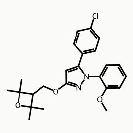 COc1ccccc1-n1nc(OCC2C(C)(C)OC2(C)C)cc1-c1ccc(Cl)cc1